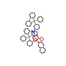 c1ccc(C2(c3cccc(N(c4ccc5c(c4)oc4cc6ccccc6cc45)c4ccccc4C4(c5ccccc5)c5ccccc5Oc5ccccc54)c3)c3ccccc3-c3ccccc32)cc1